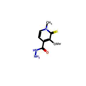 COc1c(C(=O)NN)ccn(C)c1=S